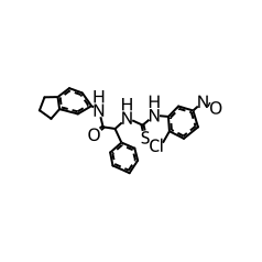 O=Nc1ccc(Cl)c(NC(=S)NC(C(=O)Nc2ccc3c(c2)CCC3)c2ccccc2)c1